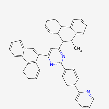 CC1c2ccccc2C2CCC=CC2C1c1cc(-c2cc3ccccc3c3c2C=CCC3)nc(C2=CCC(c3ccccn3)C=C2)n1